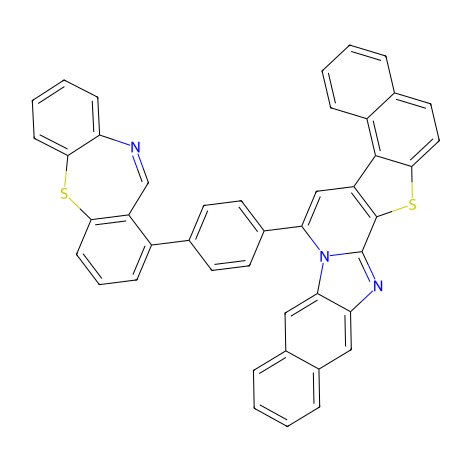 C1=Nc2ccccc2Sc2cccc(-c3ccc(-c4cc5c(sc6ccc7ccccc7c65)c5nc6cc7ccccc7cc6n45)cc3)c21